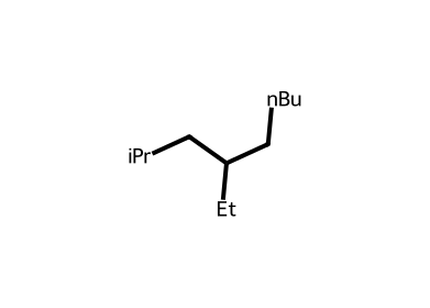 [CH2]CCCCC(C[CH2])CC(C)C